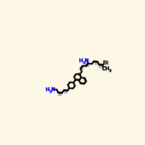 CC/C(C)=C\C=C/C/C(N)=C/C=C\C[C@@H]1CCC(C2CCC(/C=C/C=C\CN)CC2)=C2C=CC=CC21